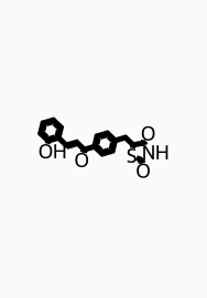 O=C1NC(=O)C(Cc2ccc(C(=O)C=Cc3ccccc3O)cc2)S1